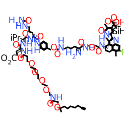 C#CCCCCCC(C)OCC(=O)NCCOCCOCCOCCOCCC(=O)N[C@@H](CCC(=O)O)C(=O)N[C@H](C(=O)N[C@@H](CCCNC(N)=O)C(=O)Nc1ccc(COC(=O)NCCCC[C@H](N)C(=O)NCOCC(=O)N[C@H]2CCc3c(C)c(F)cc4nc5c(c2c34)Cn2c-5cc3c(c2=O)COC(=O)[C@]3(O)[C@@H](C)[SiH3])cc1)C(C)C